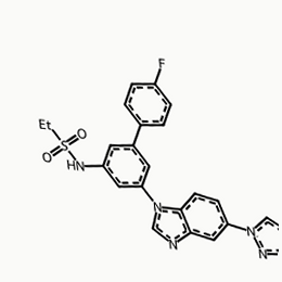 CCS(=O)(=O)Nc1cc(-c2ccc(F)cc2)cc(-n2cnc3cc(-n4cccn4)ccc32)c1